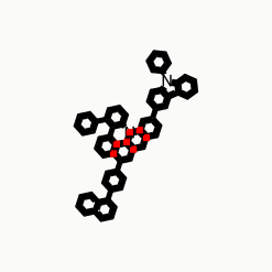 c1ccc(-c2ccccc2-c2c(-c3ccccc3)cccc2N(c2ccc(-c3ccc(-c4cccc5ccccc45)cc3)cc2)c2cccc(-c3ccc4c(c3)c3ccccc3n4-c3ccccc3)c2)cc1